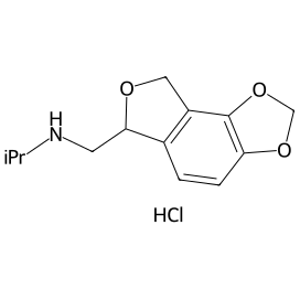 CC(C)NCC1OCc2c1ccc1c2OCO1.Cl